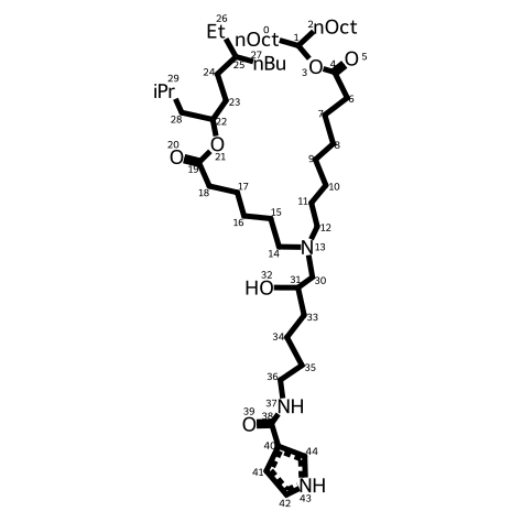 CCCCCCCCC(CCCCCCCC)OC(=O)CCCCCCCN(CCCCCC(=O)OC(CCC(CC)CCCC)CC(C)C)CC(O)CCCCNC(=O)c1cc[nH]c1